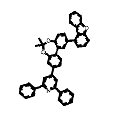 CC1(C)Oc2cc(-c3cc(-c4ccccc4)nc(-c4ccccc4)c3)ccc2-c2cc(-c3cccc4oc5ccccc5c34)ccc2O1